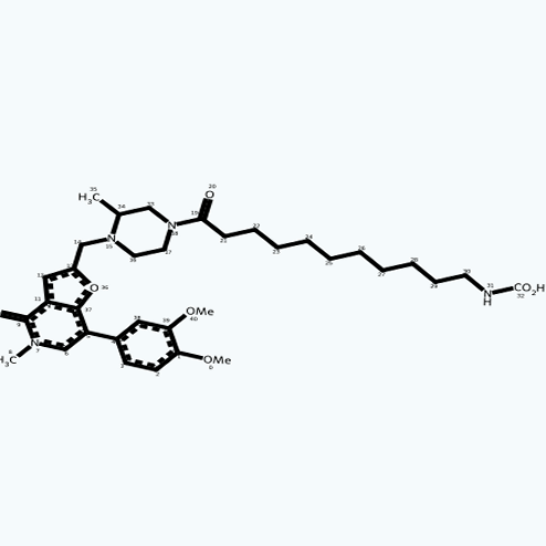 COc1ccc(-c2cn(C)c(=O)c3cc(CN4CCN(C(=O)CCCCCCCCCCNC(=O)O)CC4C)oc23)cc1OC